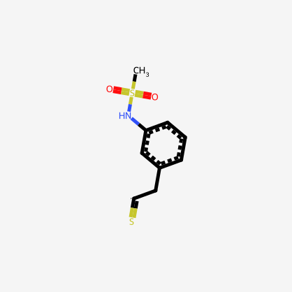 CS(=O)(=O)Nc1cccc(C[C]=S)c1